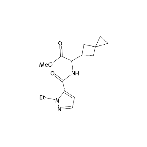 CCn1nccc1C(=O)NC(C(=O)OC)C1CC2(CC2)C1